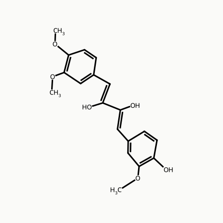 COc1cc(/C=C(O)/C(O)=C/c2ccc(OC)c(OC)c2)ccc1O